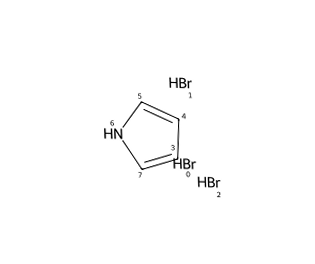 Br.Br.Br.c1cc[nH]c1